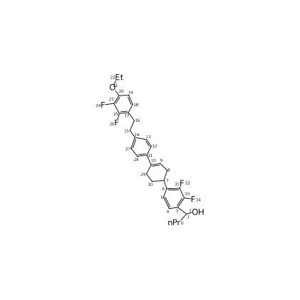 CCCC(O)c1ccc(C2CC=C(c3ccc(CCc4ccc(OCC)c(F)c4F)cc3)CC2)c(F)c1F